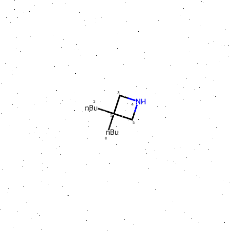 CCCCC1(CCCC)CNC1